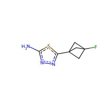 Nc1nnc(C23CC(F)(C2)C3)s1